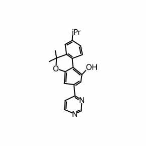 CC(C)c1ccc2c(c1)C(C)(C)Oc1cc(-c3ccncn3)cc(O)c1-2